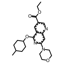 CCOC(=O)c1cnc2cc(N3CCOCC3)nc(OC3CCC(C)CC3)c2c1